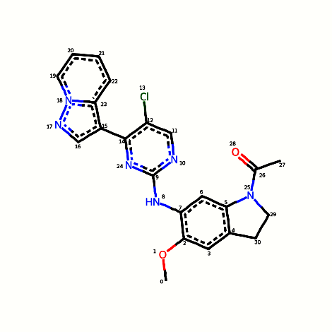 COc1cc2c(cc1Nc1ncc(Cl)c(-c3cnn4ccccc34)n1)N(C(C)=O)CC2